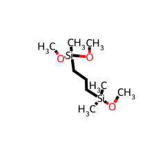 CO[Si](C)(C)CCC[Si](C)(OC)OC